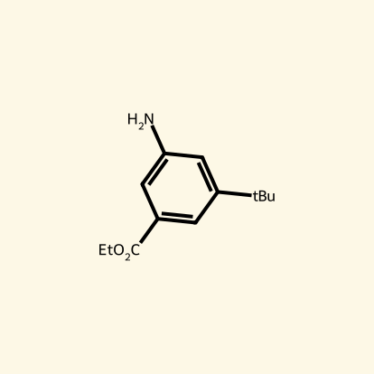 CCOC(=O)c1cc(N)cc(C(C)(C)C)c1